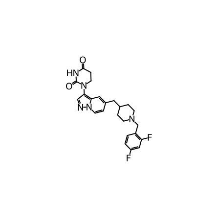 O=C1CCN(c2cnn3ccc(CC4CCN(Cc5ccc(F)cc5F)CC4)cc23)C(=O)N1